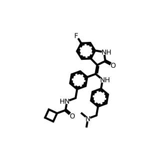 CN(C)Cc1ccc(N/C(=C2\C(=O)Nc3cc(F)ccc32)c2cccc(CNC(=O)C3CCC3)c2)cc1